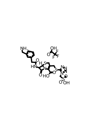 NCc1cccc(CC(=O)NC2C(=O)N3C(C(=O)O)=C(CSc4nnnn4CS(=O)(=O)O)CS[C@H]23)c1.O=C(O)C(F)(F)F